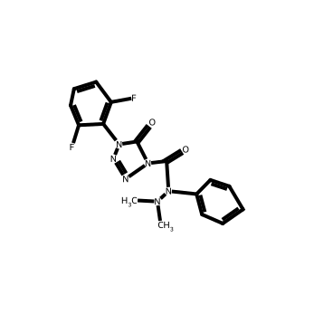 CN(C)N(C(=O)n1nnn(-c2c(F)cccc2F)c1=O)c1ccccc1